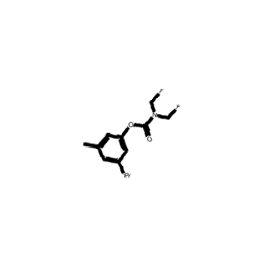 Cc1cc(OC(=O)N(CF)CF)cc(C(C)C)c1